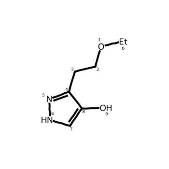 CCOCCc1n[nH]cc1O